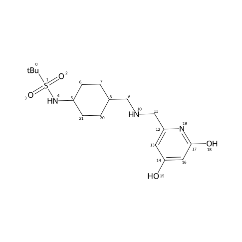 CC(C)(C)S(=O)(=O)NC1CCC(CNCc2cc(O)cc(O)n2)CC1